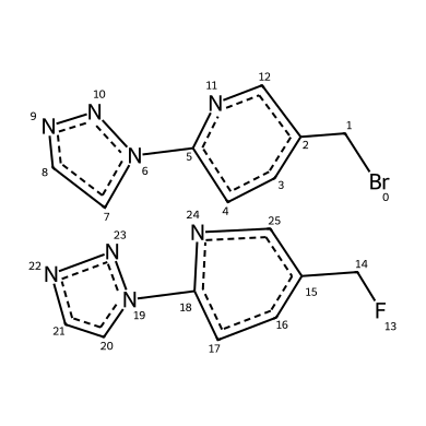 BrCc1ccc(-n2ccnn2)nc1.FCc1ccc(-n2ccnn2)nc1